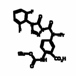 CCCN(C(=O)n1nnn(-c2c(F)cccc2F)c1=O)c1ccc(NC(=O)OC(C)(C)C)c(C(=O)O)c1